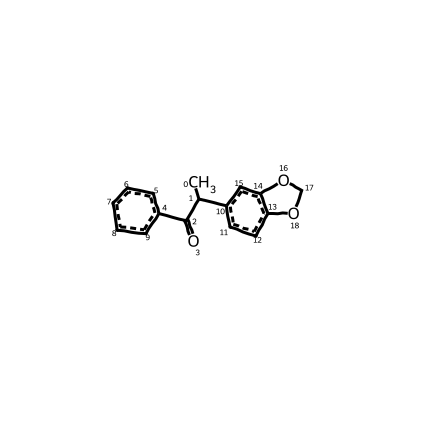 CC(C(=O)c1ccccc1)c1ccc2c(c1)OCO2